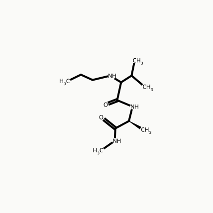 CCCNC(C(=O)N[C@@H](C)C(=O)NC)C(C)C